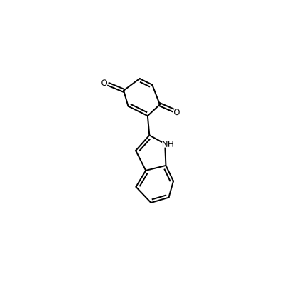 O=C1C=CC(=O)C(c2cc3ccccc3[nH]2)=C1